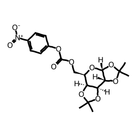 CC1(C)O[C@H]2[C@@H](O1)[C@@H](COC(=O)Oc1ccc([N+](=O)[O-])cc1)O[C@@H]1OC(C)(C)O[C@@H]12